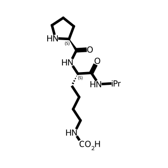 CC(C)NC(=O)[C@H](CCCCNC(=O)O)NC(=O)[C@@H]1CCCN1